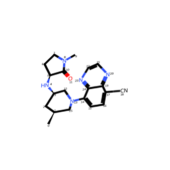 C[C@H]1C[C@@H](N[C@H]2CCN(C)C2=O)CN(c2ccc(C#N)c3nccnc23)C1